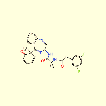 CC1(C2=N[C@H](NC(=O)C3(NC(=O)Cc4cc(F)cc(F)c4)CC3)C=Nc3ccccc32)C=CC=CC1=O